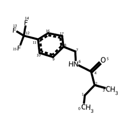 CCC(C)C(=O)NCc1ccc(C(F)(F)F)cc1